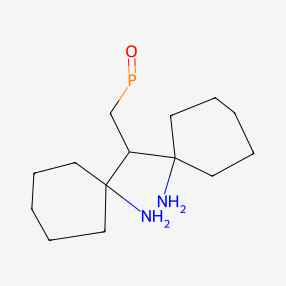 NC1(C(CP=O)C2(N)CCCCC2)CCCCC1